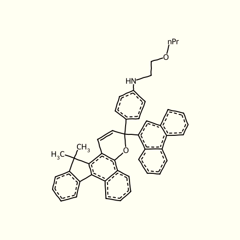 CCCOCCNc1ccc(C2(c3cc4ccccc4c4ccccc34)C=Cc3c4c(c5ccccc5c3O2)-c2ccccc2C4(C)C)cc1